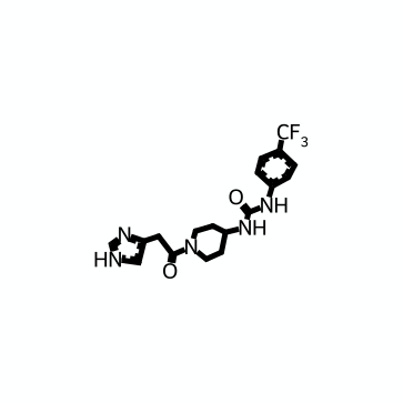 O=C(Nc1ccc(C(F)(F)F)cc1)NC1CCN(C(=O)Cc2c[nH]cn2)CC1